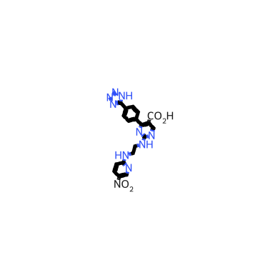 O=C(O)c1cnc(NCCNc2ccc([N+](=O)[O-])cn2)nc1-c1ccc(-c2nnn[nH]2)cc1